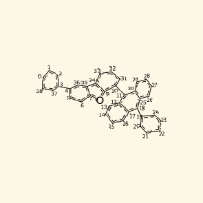 c1ccc(-c2ccc3oc4c(-c5c6ccccc6c(-c6ccccc6)c6ccccc56)cccc4c3c2)cc1